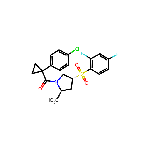 O=C(O)[C@@H]1C[C@@H](S(=O)(=O)c2ccc(F)cc2F)CN1C(=O)C1(c2ccc(Cl)cc2)CC1